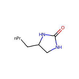 CCCCC1CNC(=O)N1